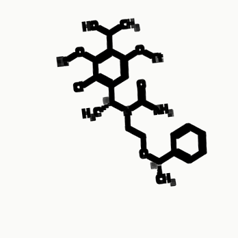 CCOc1cc([C@@H](C)N(CCO[C@@H](C)c2ccccc2)C(N)=O)c(Cl)c(OCC)c1C(C)O